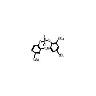 CC(C)(C)c1ccc(OP(=S)(Cl)Oc2ccc(C(C)(C)C)cc2C(C)(C)C)c(C(C)(C)C)c1